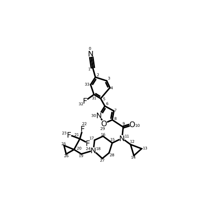 N#Cc1ccc(-c2cc(C(=O)N(C3CC3)C3CCN(CC4(C(F)(F)F)CC4)CC3)on2)c(F)c1